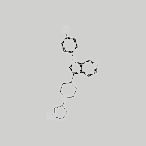 Clc1ccc(-n2cc(C3CCN(C4CCNC4)CC3)c3ccncc32)cc1